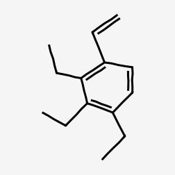 C=Cc1ccc(CC)c(CC)c1CC